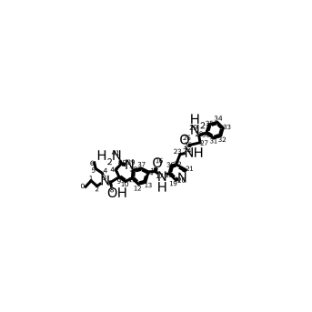 CCCN(CCC)C(O)C1=Cc2ccc(C(=O)Nc3cncc(CNC(=O)CC(N)c4ccccc4)c3)cc2N=C(N)C1